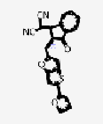 N#CC(C#N)=C1/C(=C/c2cc3sc(-c4ccco4)cc3o2)C(=O)c2ccccc21